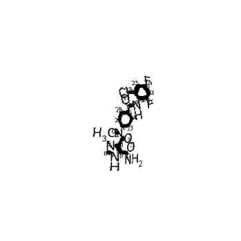 CN(C(=O)c1nc[nH]c1C(N)=O)[C@H]1CC[C@H](C(=O)Nc2c(F)cc(F)cc2Cl)CC1